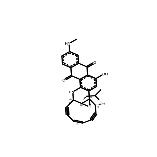 CNc1ccc2c(c1)C(=O)c1c(O)cc3c(c1C2=O)N[C@H]1C#C/C=C\C#C[C@@H](O)[C@@]32O[C@@]12CC(C)C